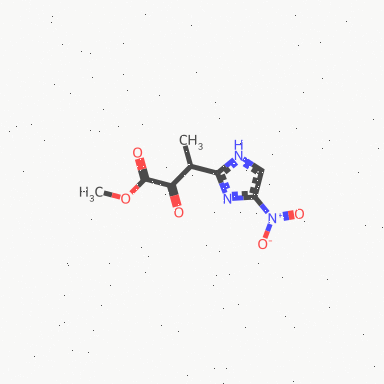 COC(=O)C(=O)C(C)c1nc([N+](=O)[O-])c[nH]1